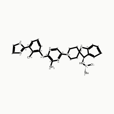 CC(C)(C)[S@@+]([O-])N[C@@H]1c2ccccc2OC12CCN(c1cnc(Sc3cccc(-c4ncco4)c3Cl)c(N)n1)CC2